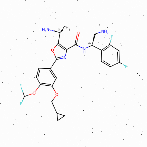 C[C@H](N)c1oc(-c2ccc(OC(F)F)c(OCC3CC3)c2)nc1C(=O)N[C@@H](CN)c1ccc(F)cc1F